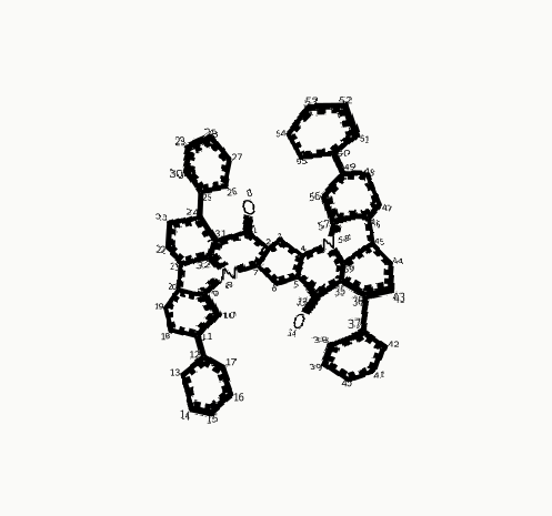 O=c1c2cc3c(cc2n2c4cc(-c5ccccc5)ccc4c4ccc(-c5ccccc5)c1c42)c(=O)c1c(-c2ccccc2)ccc2c4ccc(-c5ccccc5)cc4n3c12